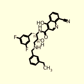 CCc1cccc(CNC[C@@H](O)[C@H](Cc2cc(F)cc(F)c2)NC(=O)c2cnc3c(C#N)cccc3c2O)c1